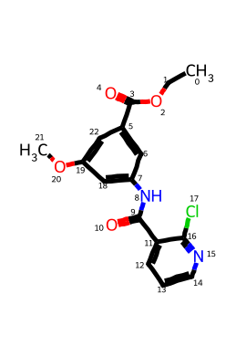 CCOC(=O)c1cc(NC(=O)c2cccnc2Cl)cc(OC)c1